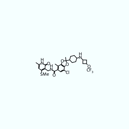 CSc1cc(C)[nH]c(=O)c1CNC(=O)c1cc(Cl)c2c(c1C)OC(C)(C1CCC(NC3CC(OC(F)(F)F)C3)CC1)O2